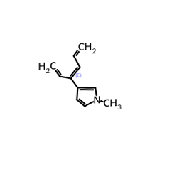 C=C/C=C(\C=C)c1ccn(C)c1